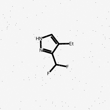 [CH2]Cc1c[nH]nc1C(F)F